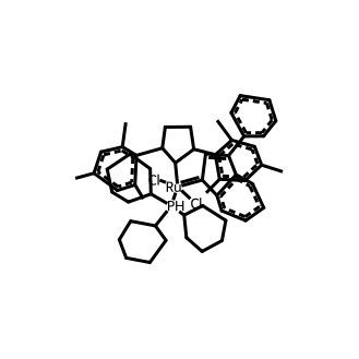 Cc1cc(C)c(C2CCC(c3c(C)cc(C)cc3C)[CH]2[Ru]([Cl])([Cl])(=[C]2C=C(c3ccccc3)c3ccccc32)[PH](C2CCCCC2)(C2CCCCC2)C2CCCCC2)c(C)c1